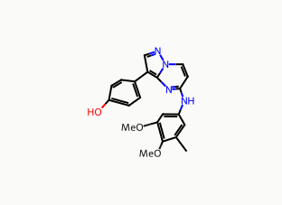 COc1cc(Nc2ccn3ncc(-c4ccc(O)cc4)c3n2)cc(C)c1OC